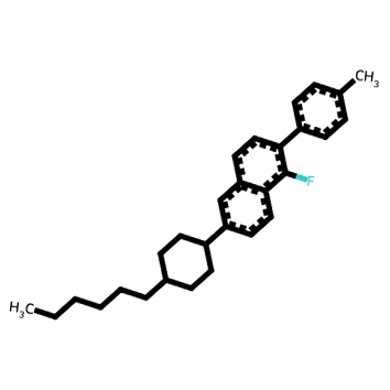 CCCCCCC1CCC(c2ccc3c(F)c(-c4ccc(C)cc4)ccc3c2)CC1